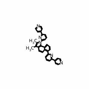 Cc1c(C)n(-c2cccc(-c3ccncc3)n2)c2c1ccc1c(-c3cccc(-c4ccncc4)n3)cccc12